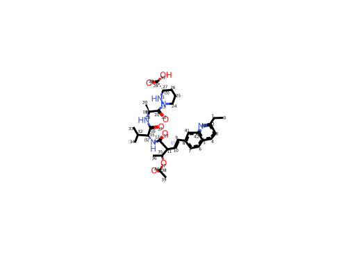 CCc1ccc2ccc(/C=C/C(C(=O)N[C@H](C(=O)N[C@@H](C)C(=O)N3CCC[C@@H](C(=O)O)N3)C(C)C)C(C)OC(C)=O)cc2n1